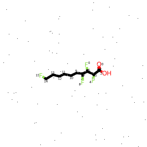 O=C(O)C(F)C(F)C(F)CCCCCCF